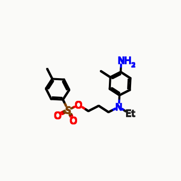 CCN(CCCOS(=O)(=O)c1ccc(C)cc1)c1ccc(N)c(C)c1